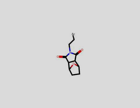 CC(=O)CCN1C(=O)C2C3CCC(O3)C2C1=O